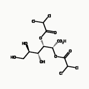 O=C(O[C@@H]([C@H](O)[C@H](O)CO)[C@@H](OC(=O)C(Cl)Cl)C(=O)O)C(Cl)Cl